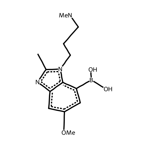 CNCCCn1c(C)nc2cc(OC)cc(B(O)O)c21